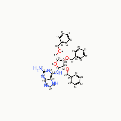 Nc1nc(NC2O[C@H](COCc3ccccc3)[C@@H](OCc3ccccc3)[C@@H]2OCc2ccccc2)c2[nH]cnc2n1